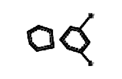 Brc1cccc(Br)c1.c1ccccc1